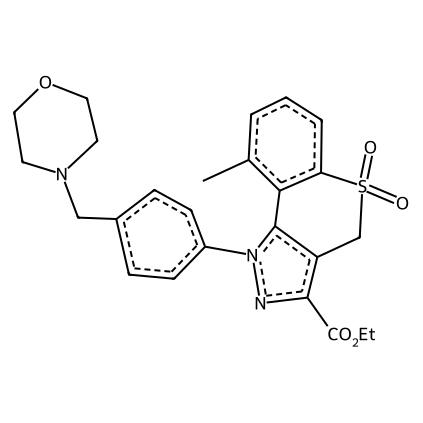 CCOC(=O)c1nn(-c2ccc(CN3CCOCC3)cc2)c2c1CS(=O)(=O)c1cccc(C)c1-2